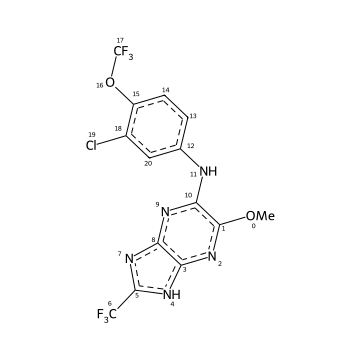 COc1nc2[nH]c(C(F)(F)F)nc2nc1Nc1ccc(OC(F)(F)F)c(Cl)c1